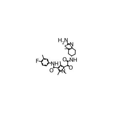 Cc1cc(NC(=O)c2c(C)c(C(=O)C(=O)N[C@H]3CCc4nc(N)sc4C3)n(C)c2C)ccc1F